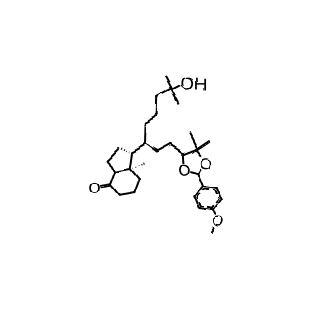 COc1ccc(C2OC(CC[C@H](CCCC(C)(C)O)[C@H]3CCC4C(=O)CCC[C@@]43C)C(C)(C)O2)cc1